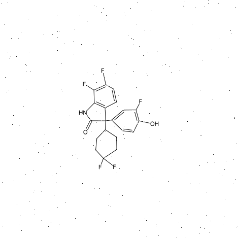 O=C1Nc2c(ccc(F)c2F)C1(c1ccc(O)c(F)c1)C1CCC(F)(F)CC1